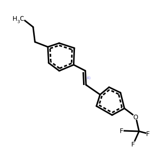 CCCc1ccc(/C=C/c2ccc(OC(F)(F)F)cc2)cc1